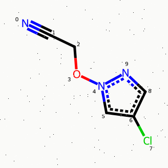 N#CCOn1cc(Cl)cn1